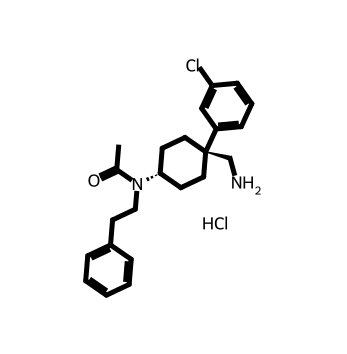 CC(=O)N(CCc1ccccc1)[C@H]1CC[C@@](CN)(c2cccc(Cl)c2)CC1.Cl